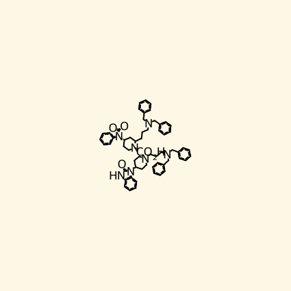 O=C(O)N1CC[C@H](n2c(=O)oc3ccccc32)CC1CCCN(Cc1ccccc1)Cc1ccccc1.O=c1[nH]c2ccccc2n1C1CCN(CCCN(Cc2ccccc2)Cc2ccccc2)CC1